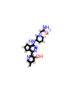 Cc1cnc(-c2nnc(NC3CCCN(CC(N)=O)C3)c3c2CCC3)c(O)c1